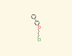 ClCCCCCOc1ccc(-c2ccccc2)cc1